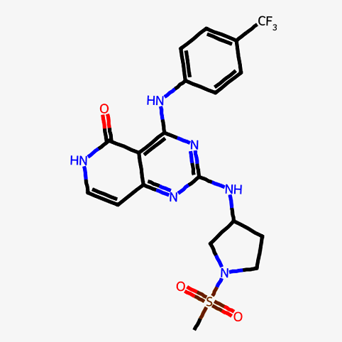 CS(=O)(=O)N1CCC(Nc2nc(Nc3ccc(C(F)(F)F)cc3)c3c(=O)[nH]ccc3n2)C1